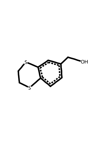 OCc1ccc2c(c1)SCCS2